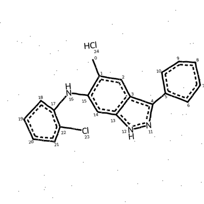 Cc1cc2c(-c3ccccc3)n[nH]c2cc1Nc1ccccc1Cl.Cl